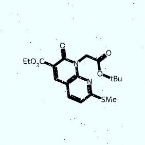 CCOC(=O)c1cc2ccc(SC)nc2n(CC(=O)OC(C)(C)C)c1=O